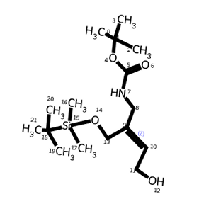 CC(C)(C)OC(=O)NC/C(=C/CO)CO[Si](C)(C)C(C)(C)C